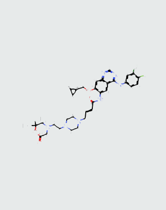 CC1(C)CN(CCN2CCN(C/C=C/C(=O)Nc3cc4c(Nc5ccc(F)c(Cl)c5)ncnc4cc3OCC3CC3)CC2)CC(=O)O1